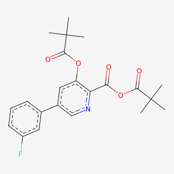 CC(C)(C)C(=O)OC(=O)c1ncc(-c2cccc(F)c2)cc1OC(=O)C(C)(C)C